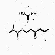 CC=CC(=O)CCOC(=S)N(C)C.NC(O)=S